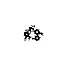 CC(O)(COc1ccc(C#N)cc1)C(=O)Nc1ccc(C#N)c(C(=O)OCc2ccccc2)c1